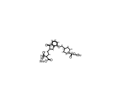 COC(=O)C(CCN1Cc2c(OCC3CCN(C(=O)OC(C)(C)C)CC3)cccc2C1=O)C(N)=O